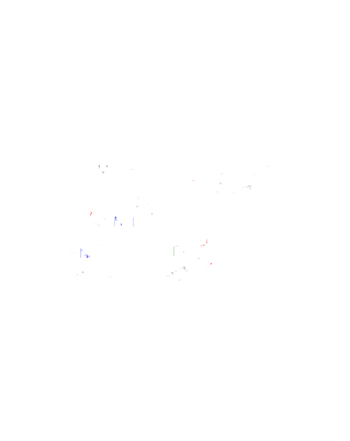 COc1cc(OCc2ccc(F)cc2)c(F)cc1CNC(=O)[C@@H]1CCCN1.O=C(O)C(F)(F)F